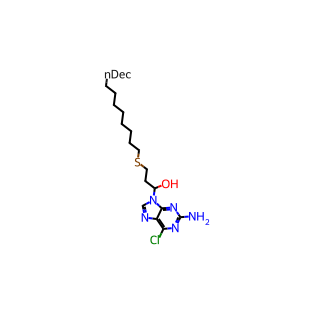 CCCCCCCCCCCCCCCCCCSCCC(O)n1cnc2c(Cl)nc(N)nc21